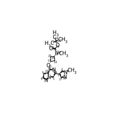 Cn1cc(-c2cn3nccc3c(O[C@H]3C[C@@H](N(C)C(=O)OC(C)(C)C)C3)n2)cn1